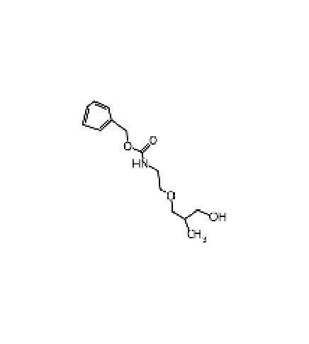 CC(CO)COCCNC(=O)OCc1ccccc1